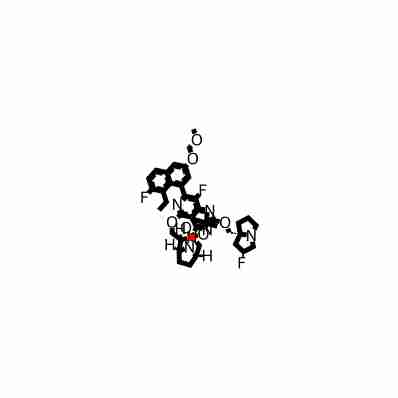 CCc1c(F)ccc2cc(OCOC)cc(-c3nc4c5c(nc(OC[C@]67CCCN6C[C@H](F)C7)nc5c3F)N3C[C@@H]5CC[C@H]([C@@H]3CO4)N5C(=O)OC(C)(C)C)c12